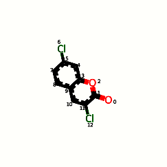 O=c1oc2cc(Cl)ccc2cc1Cl